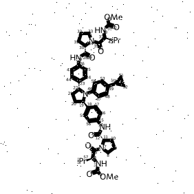 COC(=O)N[C@H](C(=O)N1CCC[C@H]1C(=O)Nc1ccc([C@H]2CC[C@H](c3ccc(NC(=O)[C@@H]4CCCN4C(=O)[C@@H](NC(=O)OC)C(C)C)cc3)N2c2ccc(C3CC3)cc2)cc1)C(C)C